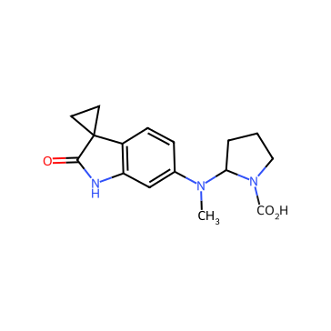 CN(c1ccc2c(c1)NC(=O)C21CC1)C1CCCN1C(=O)O